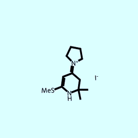 CSC1=CC(=[N+]2CCCC2)CC(C)(C)N1.[I-]